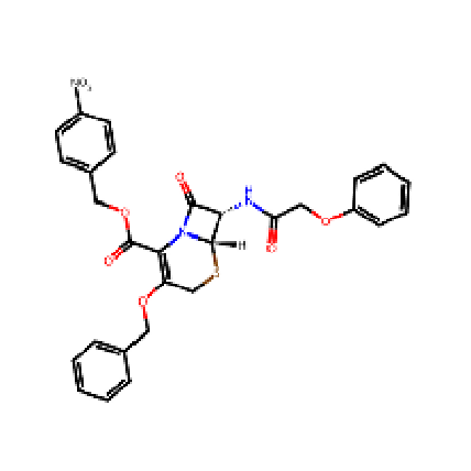 O=C(COc1ccccc1)N[C@H]1C(=O)N2C(C(=O)OCc3ccc([N+](=O)[O-])cc3)=C(OCc3ccccc3)CS[C@@H]12